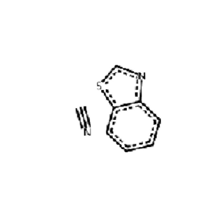 C#N.c1ccc2scnc2c1